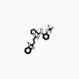 Cn1c(CCC(=O)N2CCC[C@@]2(C)C(=O)Nc2ccccc2OC(F)(F)F)nc2ccccc21